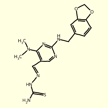 CN(C)c1nc(NCc2ccc3c(c2)OCO3)ncc1C=NNC(N)=S